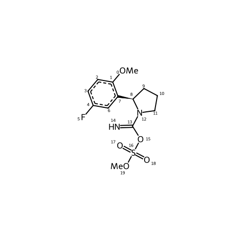 COc1ccc(F)cc1[C@H]1CCCN1C(=N)OS(=O)(=O)OC